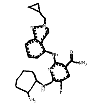 NC(=O)c1cc(F)c(NC2CCCCC2N)nc1Nc1cccc2nn(CC3CC3)cc12